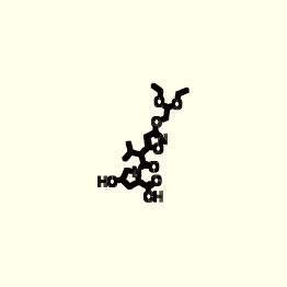 CCOC(COc1cc(C(C(=O)N2CC(O)CC2C(=O)O)C(C)C)on1)OCC